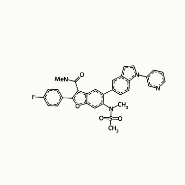 CNC(=O)c1c(-c2ccc(F)cc2)oc2cc(N(C)S(C)(=O)=O)c(-c3ccc4c(ccn4-c4cccnc4)c3)cc12